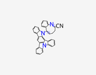 N#C/C1=N/c2ccccc2/C(n2c3ccccc3c3cc4c5ccccc5n5c6ccccc6c(c32)c45)=C\CC1